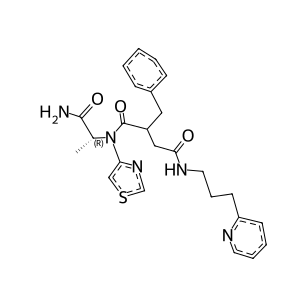 C[C@H](C(N)=O)N(C(=O)C(CC(=O)NCCCc1ccccn1)Cc1ccccc1)c1cscn1